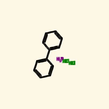 Cl.Cl.P.c1ccc(-c2ccccc2)cc1